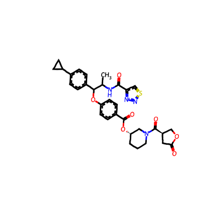 CC(NC(=O)c1csnn1)C(Oc1ccc(C(=O)O[C@H]2CCCN(C(=O)[C@H]3COC(=O)C3)C2)cc1)c1ccc(C2CC2)cc1